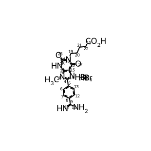 Br.Br.Cn1c(-c2ccc(C(=N)N)cc2)nc2c(=O)n(CCCCC(=O)O)c(=O)[nH]c21